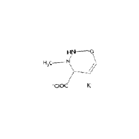 CN1NOC=CC1C(=O)[O-].[K+]